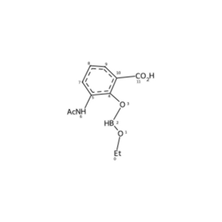 CCOBOc1c(NC(C)=O)cccc1C(=O)O